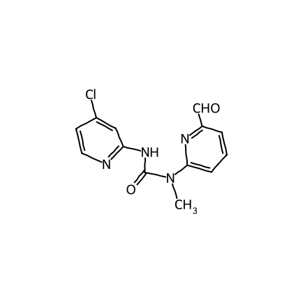 CN(C(=O)Nc1cc(Cl)ccn1)c1cccc(C=O)n1